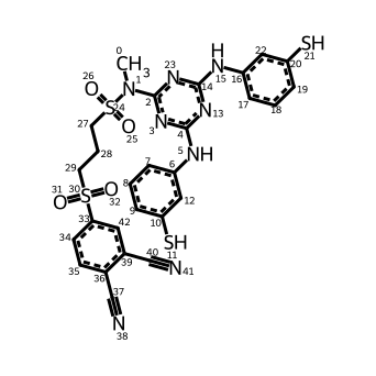 CN(c1nc(Nc2cccc(S)c2)nc(Nc2cccc(S)c2)n1)S(=O)(=O)CCCS(=O)(=O)c1ccc(C#N)c(C#N)c1